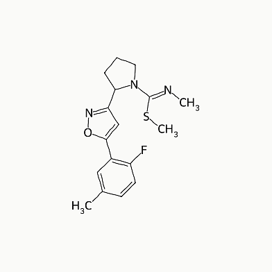 CN=C(SC)N1CCCC1c1cc(-c2cc(C)ccc2F)on1